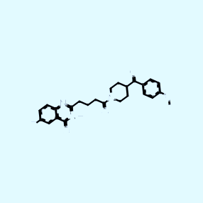 COc1ccc(C(=O)C2CCN(C(=O)CCCc3nc4ccc(F)cc4c(=O)[nH]3)CC2)cc1